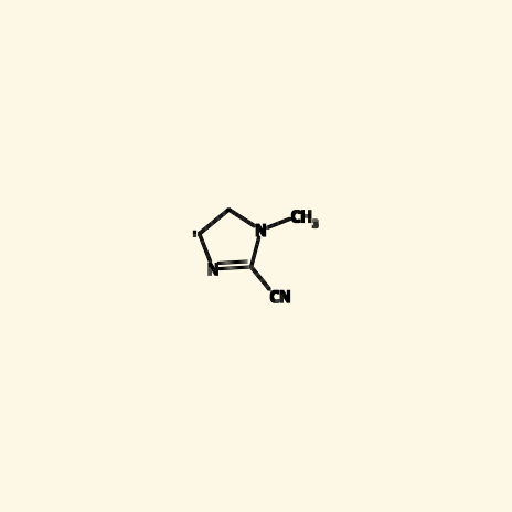 CN1C[C]N=C1C#N